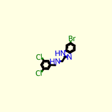 Clc1cc(Cl)cc(CNCc2nc3ccc(Br)cc3[nH]2)c1